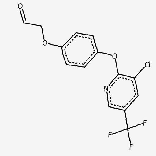 O=CCOc1ccc(Oc2ncc(C(F)(F)F)cc2Cl)cc1